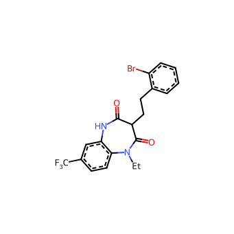 CCN1C(=O)C(CCc2ccccc2Br)C(=O)Nc2cc(C(F)(F)F)ccc21